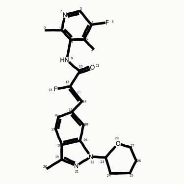 Cc1ncc(F)c(C)c1NC(=O)/C(F)=C/c1ccc2c(C)nn(C3CCCCO3)c2c1